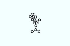 c1ccc(-c2cc(-c3ccccc3)cc(-c3ccc(-c4nc(-c5ccccc5)nc(-c5cccc6c5-c5ccccc5[Si]6(c5ccccc5)c5ccccc5)n4)cc3)c2)cc1